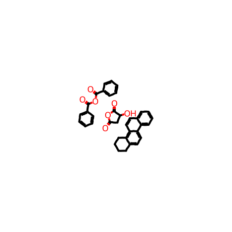 O=C(OC(=O)c1ccccc1)c1ccccc1.O=C1CC(O)C(=O)O1.c1ccc2c(c1)ccc1c3c(ccc12)CCCC3